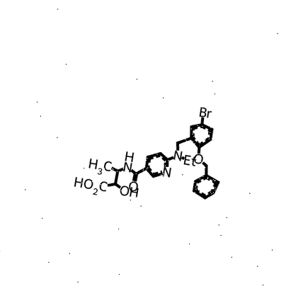 CCN(Cc1cc(Br)ccc1OCc1ccccc1)c1ccc(C(=O)NC(C)C(O)C(=O)O)cn1